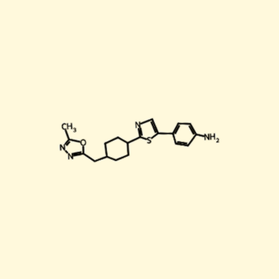 Cc1nnc(CC2CCC(c3ncc(-c4ccc(N)cc4)s3)CC2)o1